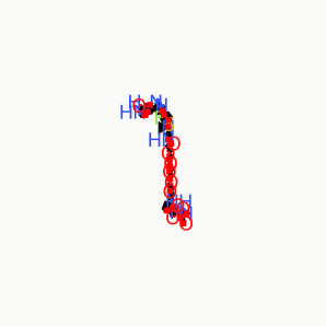 CN(C)C(=O)C(CCC=O)N1C(=O)c2cccc(NCCOCCOCCOCCOCCOCCC(=O)NCCCN(Sc3ccc(-c4cnc(N)c(-c5ccc6c(c5)CCNC6=O)c4)c(F)c3)C3CC3)c2C1=O